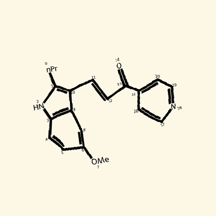 CCCc1[nH]c2ccc(OC)cc2c1C=CC(=O)c1ccncc1